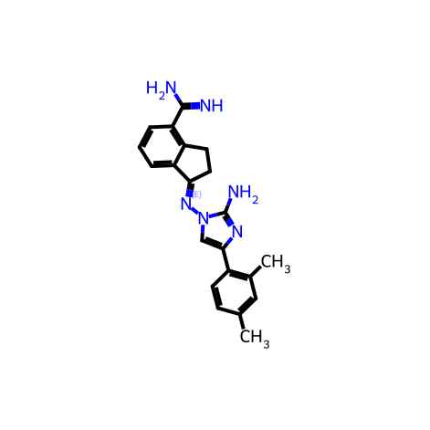 Cc1ccc(-c2cn(/N=C3\CCc4c(C(=N)N)cccc43)c(N)n2)c(C)c1